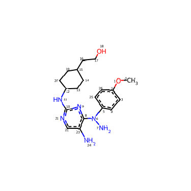 COc1ccc(N(N)c2nc(NC3CCC(CCO)CC3)ncc2N)cc1